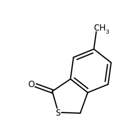 Cc1ccc2c(c1)C(=O)SC2